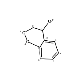 [O]C1COOc2ccccc21